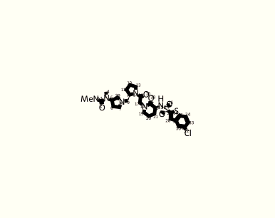 CNC(=O)N(C)C1CCN(C[C@@H]2CCCN2C(=O)CN2CCC[C@H](NS(=O)(=O)c3cc4cc(Cl)ccc4s3)C2=O)C1